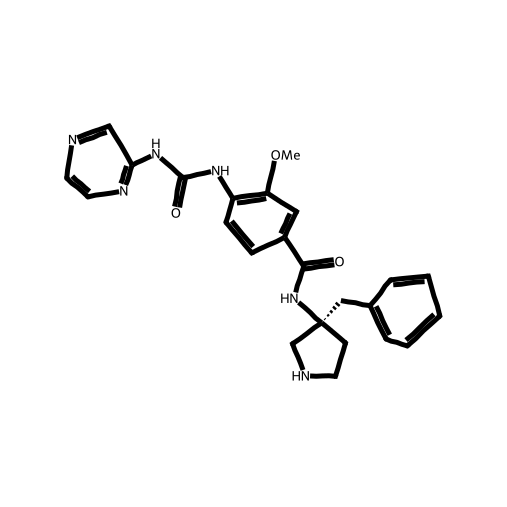 COc1cc(C(=O)N[C@@]2(Cc3ccccc3)CCNC2)ccc1NC(=O)Nc1cnccn1